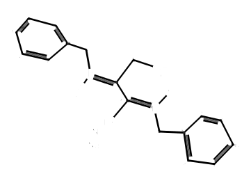 [Na].[Na].[O-]/[P+](Cc1ccccc1)=C(CO)\C(O)=[P+](/[O-])Cc1ccccc1